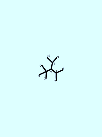 [CH2]C(C)(C)C(C(C)C)C(C)C